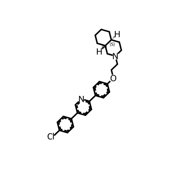 Clc1ccc(-c2ccc(-c3ccc(OCCN4CC[C@@H]5CCCC[C@H]5C4)cc3)nc2)cc1